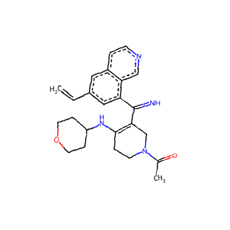 C=Cc1cc(C(=N)C2=C(NC3CCOCC3)CCN(C(C)=O)C2)c2cnccc2c1